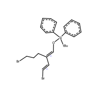 CC(C)(C)[Si](O/C=C(/C=C/Br)CCCBr)(c1ccccc1)c1ccccc1